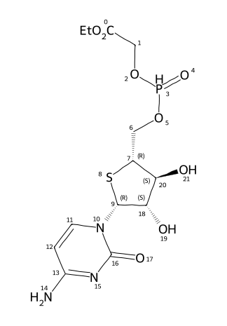 CCOC(=O)CO[PH](=O)OC[C@H]1S[C@@H](n2ccc(N)nc2=O)[C@@H](O)[C@@H]1O